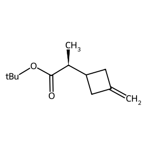 C=C1CC([C@H](C)C(=O)OC(C)(C)C)C1